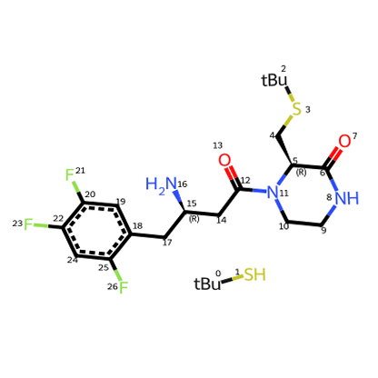 CC(C)(C)S.CC(C)(C)SC[C@H]1C(=O)NCCN1C(=O)C[C@H](N)Cc1cc(F)c(F)cc1F